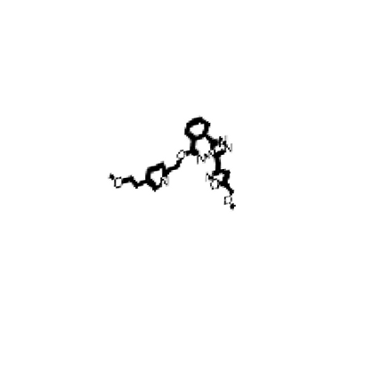 COCCc1ccc(COc2nn3c(-c4cc(COC)on4)nnc3c3ccccc23)nc1